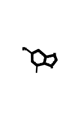 Cc1cc(C(C)C)cc2ncsc12